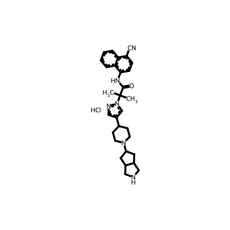 CC(C)(C(=O)Nc1ccc(C#N)c2ccccc12)n1cc(C2CCN(C3CC4CNCC4C3)CC2)cn1.Cl